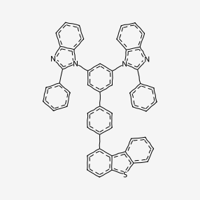 c1ccc(-c2nc3ccccc3n2-c2cc(-c3ccc(-c4cccc5sc6ccccc6c45)cc3)cc(-n3c(-c4ccccc4)nc4ccccc43)c2)cc1